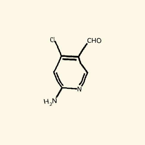 Nc1cc(Cl)c(C=O)cn1